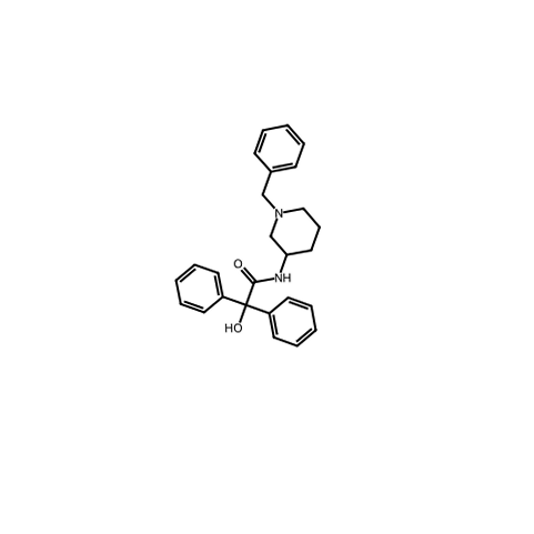 O=C(NC1CCCN(Cc2ccccc2)C1)C(O)(c1ccccc1)c1ccccc1